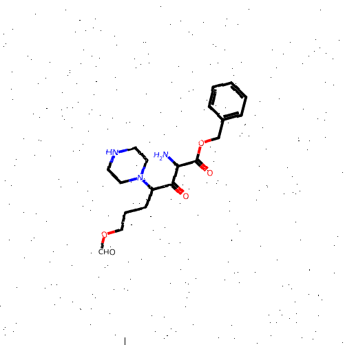 NC(C(=O)OCc1ccccc1)C(=O)C(CCCOC=O)N1CCNCC1